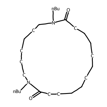 CCCCN1CCCCCCN(CCCC)C(=O)CCCCCCCCCCC1=O